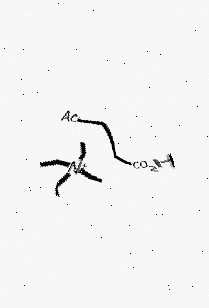 CC(=O)CCC(=O)O.C[N+](C)(C)C